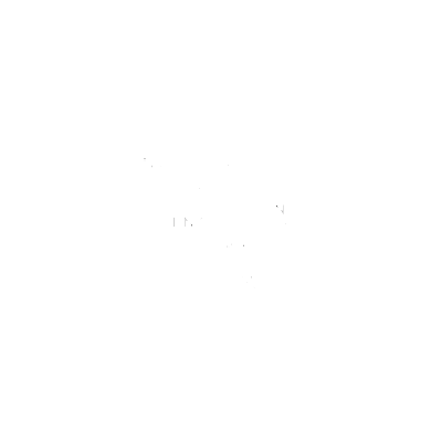 CC#N.O=C1C=CC(=O)N1